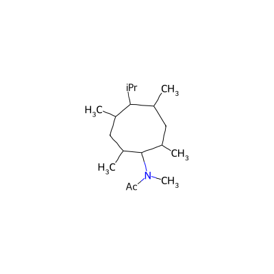 CC(=O)N(C)C1C(C)CC(C)C(C(C)C)C(C)CC1C